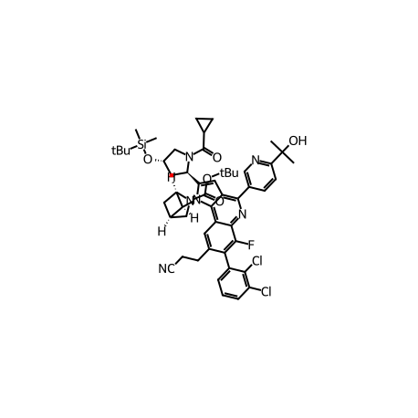 CC(C)(C)OC(=O)N1C[C@H]2C[C@@H]1[C@H]2n1c([C@H]2C[C@H](O[Si](C)(C)C(C)(C)C)CN2C(=O)C2CC2)cc2c(-c3ccc(C(C)(C)O)nc3)nc3c(F)c(-c4cccc(Cl)c4Cl)c(CCC#N)cc3c21